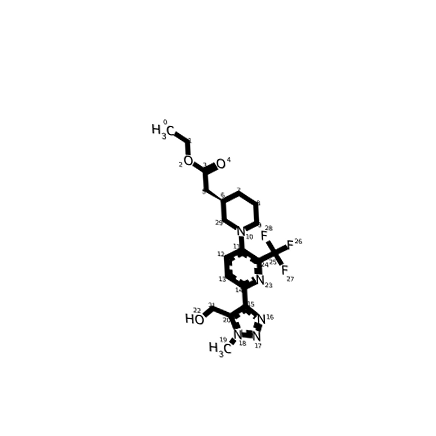 CCOC(=O)C[C@H]1CCCN(c2ccc(-c3nnn(C)c3CO)nc2C(F)(F)F)C1